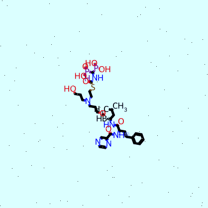 CC(C)C[C@H](BOCCCN(CCCO)CCSC(=O)NC(P(O)O)[PH](=O)O)NC(=O)C(/C=C/c1ccccc1)NC(=O)c1cnccn1